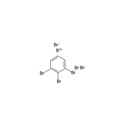 Brc1cccc(Br)c1Br.[B+3].[Br-].[Br-].[Br-]